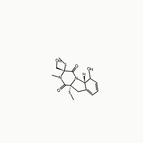 CS[C@]1(CO)C(=O)N2[C@H]3C(=CC=CC3O)C[C@@]2(SC)C(=O)N1C